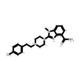 Cn1c(N2CCN(CCc3ccc(Cl)cc3)CC2)nc2c(C(N)=O)cccc21